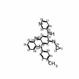 Cc1ccc(-n2c3c/c(=N\C4CC4)c(Nc4cccnc4)cc-3nc3ccccc32)cc1